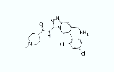 CN1CCC(C(=O)Nc2nnc3cc(CN)c(-c4ccc(Cl)cc4Cl)cn23)CC1